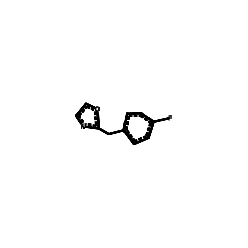 Fc1ccc(Cc2ncco2)cc1